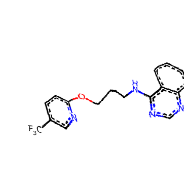 FC(F)(F)c1ccc(OCCCNc2ncnc3ccccc23)nc1